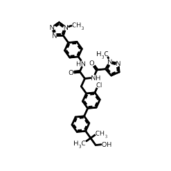 Cn1cnnc1-c1ccc(NC(=O)C(Cc2cc(-c3cccc(C(C)(C)CO)c3)ccc2Cl)NC(=O)c2ccnn2C)cc1